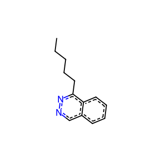 CCCCCc1nncc2ccccc12